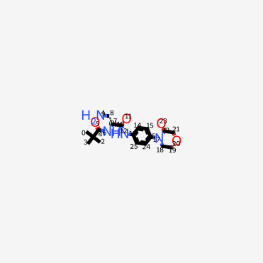 CC(C)(C)C(=O)N[C@H](CN)C(=O)Nc1ccc(N2CCOCC2=O)cc1